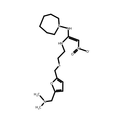 CN(C)Cc1ccc(CSCCNC(=C[N+](=O)[O-])NN2CCCCCC2)o1